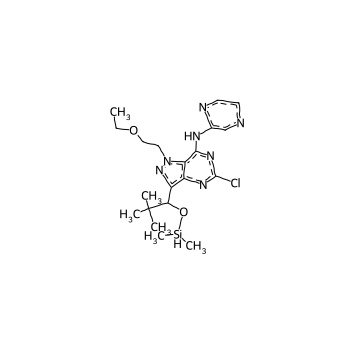 CCOCCn1nc(C(O[SiH](C)C)C(C)(C)C)c2nc(Cl)nc(Nc3cnccn3)c21